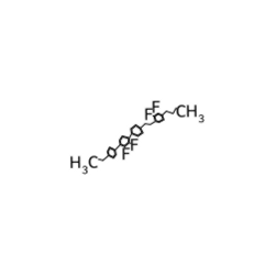 CCCCc1ccc(CCc2ccc(-c3ccc(-c4ccc(CCC)cc4)c(F)c3F)cc2)c(F)c1F